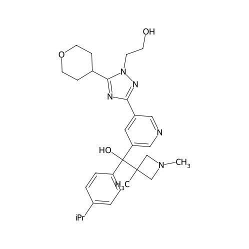 CC(C)c1ccc(C(O)(c2cncc(-c3nc(C4CCOCC4)n(CCO)n3)c2)C2(C)CN(C)C2)cc1